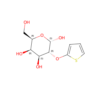 OC[C@H]1O[C@H](O)[C@H](Oc2cccs2)[C@@H](O)[C@H]1O